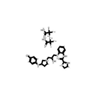 O=C(Nc1ccccc1OCC(O)CN1CCC(Oc2ccc(Cl)cc2)C1)C1NCCS1.O=C(O)C(F)(F)F.O=C(O)C(F)(F)F